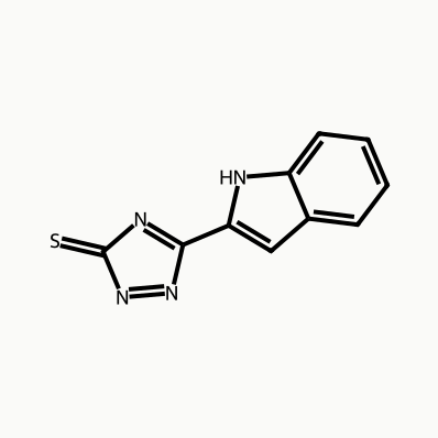 S=C1N=NC(c2cc3ccccc3[nH]2)=N1